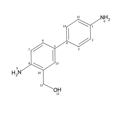 Nc1ccc(-c2ccc(N)c(CO)c2)cc1